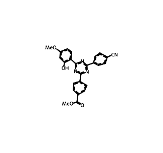 COC(=O)c1ccc(-c2nc(-c3ccc(C#N)cc3)nc(-c3ccc(OC)cc3O)n2)cc1